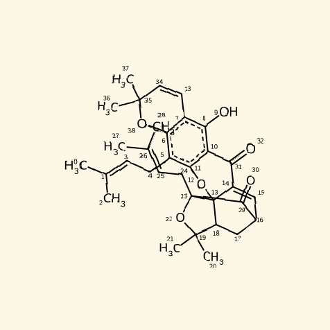 CC(C)=CCc1c2c(c(O)c3c1OC14C(=CC5CC1C(C)(C)OC4(CC=C(C)C)C5=O)C3=O)C=CC(C)(C)O2